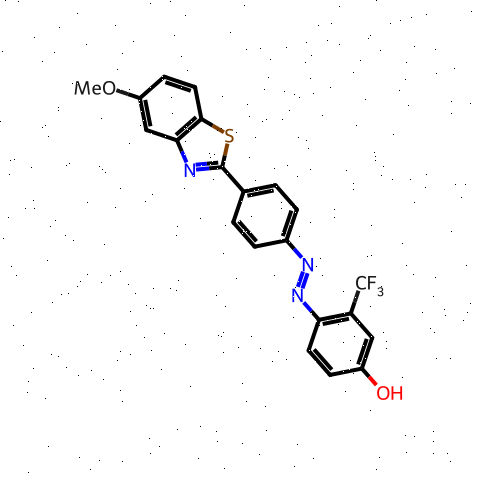 COc1ccc2sc(-c3ccc(N=Nc4ccc(O)cc4C(F)(F)F)cc3)nc2c1